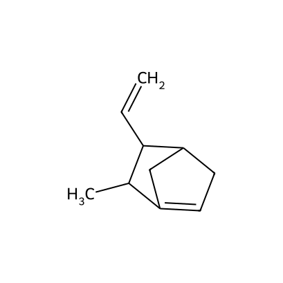 C=CC1C2CC=C(C2)C1C